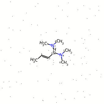 CC=C[SiH](N(C)C)N(C)C